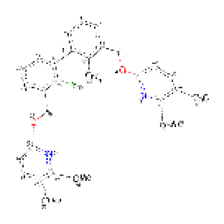 COc1nc(OCc2cccc(-c3cccc(COc4ccc(C=O)c(OC)n4)c3F)c2C)ccc1C=O